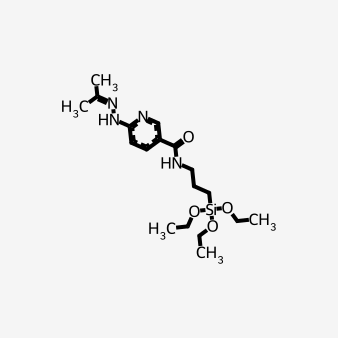 CCO[Si](CCCNC(=O)c1ccc(NN=C(C)C)nc1)(OCC)OCC